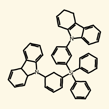 C1=CC2c3ccccc3N(C3C=CC=C([Si](c4ccccc4)(c4ccccc4)c4cccc(-n5c6c(c7ccccc75)CCC=C6)c4)C3)C2C=C1